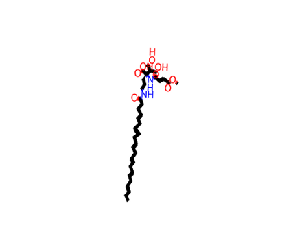 CCC=CCC=CCC=CCC=CCC=CCC=CCCC(=O)NCCC[C@@](NC(=O)C=CC(=O)OC)(C(=O)O)C(CO)CO